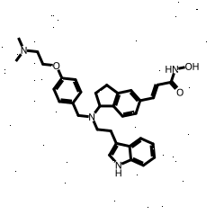 CN(C)CCOc1ccc(CN(CCc2c[nH]c3ccccc23)C2CCc3cc(C=CC(=O)NO)ccc32)cc1